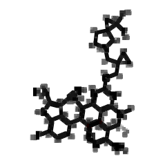 C[C@H](c1cccnc1N)N(C)c1nc(OCC2(CN3CCC4(C3)CC4(F)F)CC2)nc2c(F)c(-c3ccc(F)c4sc(N)c(C#N)c34)c(Cl)cc12